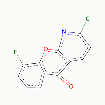 O=c1c2ccc(Cl)nc2oc2c(F)cccc12